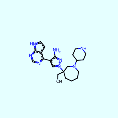 N#CCC1(n2cc(-c3ncnc4[nH]ccc34)c(N)n2)CCCCN(C2CCNCC2)C1